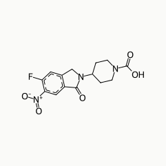 O=C(O)N1CCC(N2Cc3cc(F)c([N+](=O)[O-])cc3C2=O)CC1